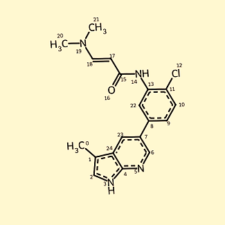 Cc1c[nH]c2ncc(-c3ccc(Cl)c(NC(=O)/C=C/N(C)C)c3)cc12